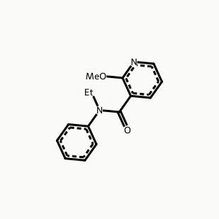 CCN(C(=O)c1cccnc1OC)c1ccccc1